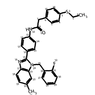 CCSc1ccc(CC(=O)Nc2ccc(-c3nc4ccc(C)cc4n3Cc3ccccc3F)cc2)cc1